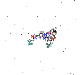 C[C@@H](NC(=O)CCC(F)(F)F)c1ccc2c(c1)nc([C@@H](N[S@+]([O-])C(C)(C)C)C1CCC(F)(F)CC1)n2COCC[Si](C)(C)C